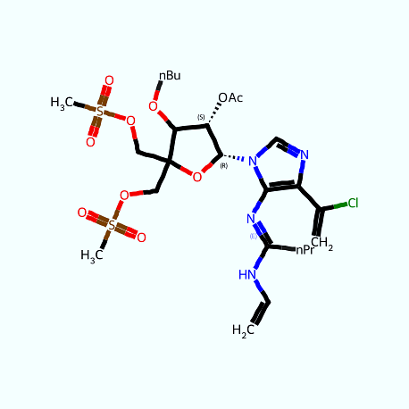 C=CN/C(CCC)=N/c1c(C(=C)Cl)ncn1[C@@H]1OC(COS(C)(=O)=O)(COS(C)(=O)=O)C(OCCCC)[C@@H]1OC(C)=O